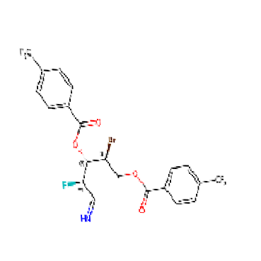 N=C[C@@H](F)[C@H](OC(=O)c1ccc(C(F)(F)F)cc1)[C@@H](Br)COC(=O)c1ccc(C(F)(F)F)cc1